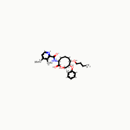 COc1ccnc(C(=O)N[C@H]2CCC[C@H](OCCCC(F)(F)F)[C@@H](Oc3ccccc3)[C@H](C)OC2=O)c1OC(C)=O